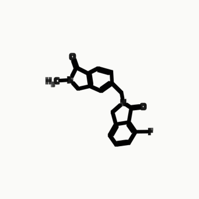 CN1Cc2cc(CN3Cc4cccc(F)c4C3=O)ccc2C1=O